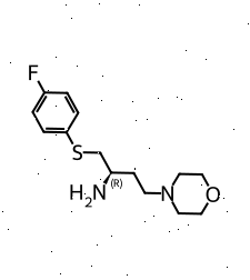 N[C@H](CCN1CCOCC1)CSc1ccc(F)cc1